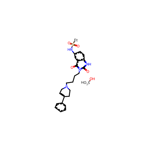 CCS(=O)(=O)Nc1ccc2[nH]c(=O)n(CCCCN3CC=C(c4ccccc4)CC3)c(=O)c2c1.O=S(=O)(O)O